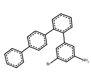 Nc1cc(Br)cc(-c2ccccc2-c2ccc(-c3ccccc3)cc2)c1